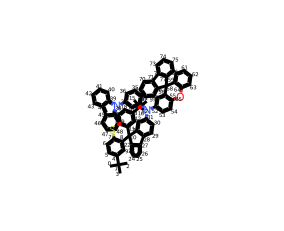 CC(C)(C)c1ccc2c(c1)C1(c3cc(C(C)(C)C)ccc3S2)c2ccccc2-c2ccc(N(c3cccc(-n4c5ccccc5c5ccccc54)c3)c3ccc4c(c3)C3(c5ccccc5O4)c4ccccc4-c4ccccc43)cc21